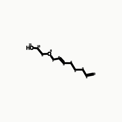 C=CCCCC=CCOCCO